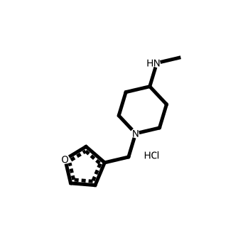 CNC1CCN(Cc2ccoc2)CC1.Cl